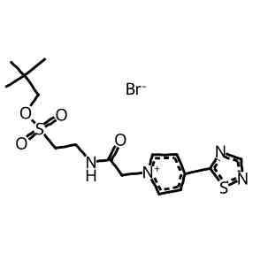 CC(C)(C)COS(=O)(=O)CCNC(=O)C[n+]1ccc(-c2ncns2)cc1.[Br-]